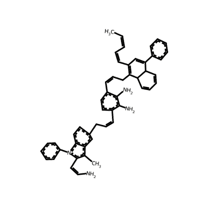 C/C=C\C=C/C1=C(C/C=C\c2ccc(/C=C\Cc3ccc4c(c3)c(C)c(/C=C\N)n4-c3ccccc3)c(N)c2N)C2C=CC=CC2C(c2ccccc2)=C1